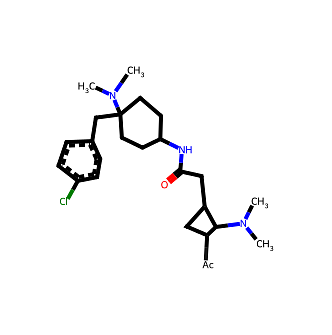 CC(=O)C1CC(CC(=O)NC2CCC(Cc3ccc(Cl)cc3)(N(C)C)CC2)C1N(C)C